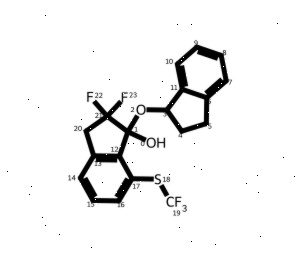 OC1(OC2CCc3ccccc32)c2c(cccc2SC(F)(F)F)CC1(F)F